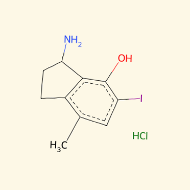 Cc1cc(I)c(O)c2c1CCC2N.Cl